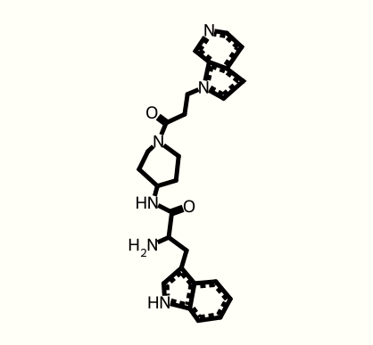 NC(Cc1c[nH]c2ccccc12)C(=O)NC1CCN(C(=O)CCn2ccc3ccncc32)CC1